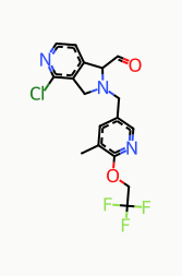 Cc1cc(CN2Cc3c(ccnc3Cl)C2C=O)cnc1OCC(F)(F)F